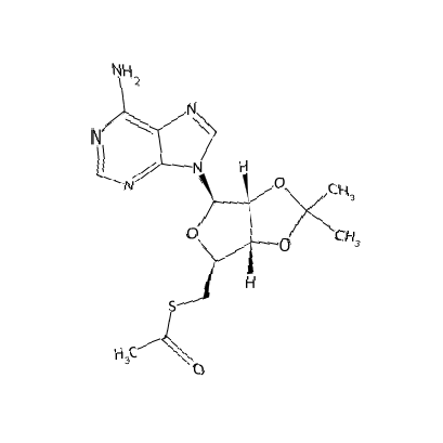 CC(=O)SC[C@H]1O[C@@H](n2cnc3c(N)ncnc32)[C@@H]2OC(C)(C)O[C@@H]21